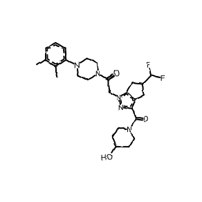 Cc1cccc(N2CCN(C(=O)Cn3nc(C(=O)N4CCC(O)CC4)c4c3CC(C(F)F)C4)CC2)c1C